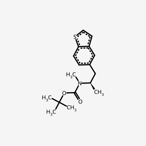 C[C@H](Cc1ccc2sccc2c1)N(C)C(=O)OC(C)(C)C